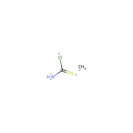 C.NC(=S)Cl